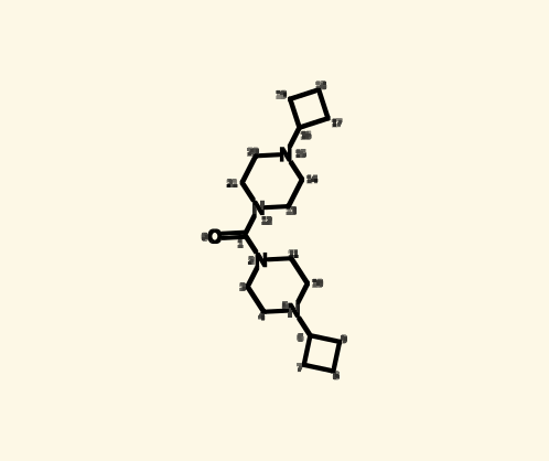 O=C(N1CCN(C2CCC2)CC1)N1CCN(C2CCC2)CC1